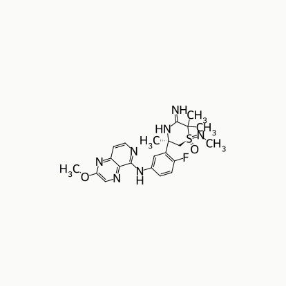 CN=[S@@]1(=O)C[C@@](C)(c2cc(Nc3nccc4nc(OC)cnc34)ccc2F)NC(=N)C1(C)C